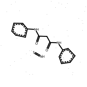 N=S.O=C(CC(=O)Nc1ccccc1)Nc1ccccc1